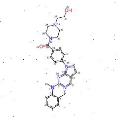 Cc1ccccc1N(C)c1ncc2ccn(-c3ccc(C(=O)N4CCN(CCO)CC4)cc3)c2n1